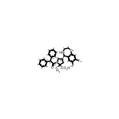 C[C@@]1(C(=O)O)C[C@H](C2NCCOc3cc(F)c(F)cc32)CN1C(=O)C(c1ccccc1)c1ccccc1